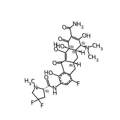 CN(C)[C@@H]1C(O)=C(C(N)=O)C(=O)[C@@]2(O)C(O)=C3C(=O)c4c(O)c(NC(=O)[C@@H]5CC(F)(F)CN5C)cc(F)c4C[C@H]3C[C@@H]12